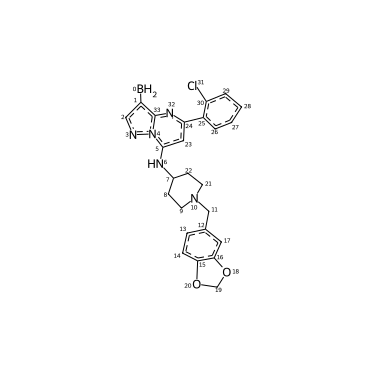 Bc1cnn2c(NC3CCN(Cc4ccc5c(c4)OCO5)CC3)cc(-c3ccccc3Cl)nc12